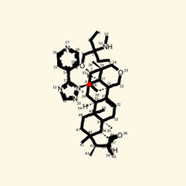 CCC(CC)(CO[C@H]1[C@H](n2ncnc2-c2ccncc2)C[C@@]23COC[C@]1(C)[C@@H]2CC[C@H]1C3=CC[C@@]2(C)[C@H](C(=O)O)C(C)([C@H](C)C(C)C)CCC12C)NC